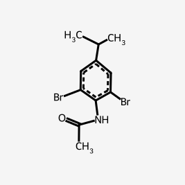 CC(=O)Nc1c(Br)cc(C(C)C)cc1Br